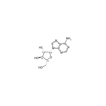 Nc1ncnc2c1ncn2[C@@H]1O[C@H](CO)[C@@H](O)[C@@H]1S